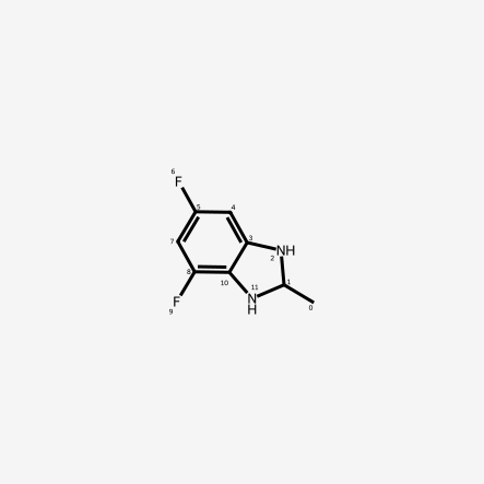 CC1Nc2cc(F)cc(F)c2N1